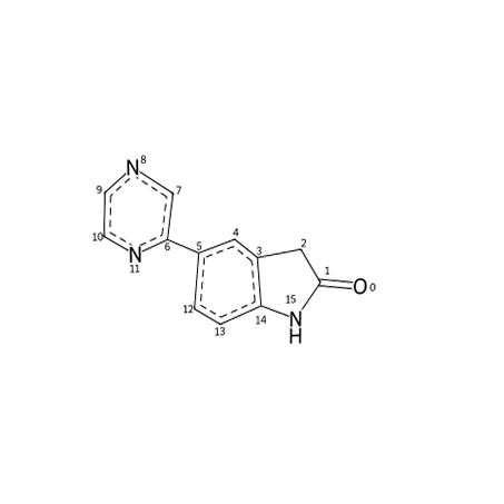 O=C1Cc2cc(-c3cnccn3)ccc2N1